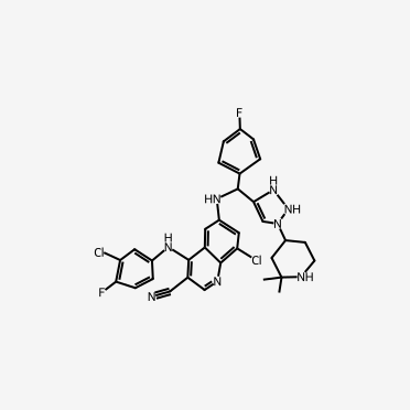 CC1(C)CC(N2C=C(C(Nc3cc(Cl)c4ncc(C#N)c(Nc5ccc(F)c(Cl)c5)c4c3)c3ccc(F)cc3)NN2)CCN1